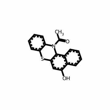 CC(=O)N1c2ccccc2Sc2cc(O)c3ccccc3c21